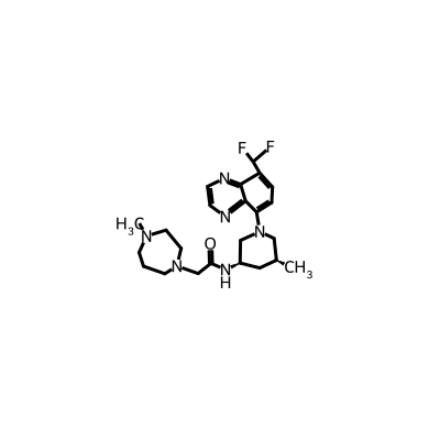 C[C@H]1C[C@@H](NC(=O)CN2CCCN(C)CC2)CN(c2ccc(C(F)F)c3nccnc23)C1